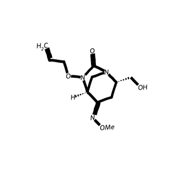 C=CCON1C(=O)N2C[C@H]1C(=NOC)C[C@H]2CO